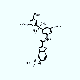 COc1cc(NC(=O)c2cc3cc(NS(C)(=O)=O)ccc3s2)cc(C(C)(C)c2cc(OC)cc(OC(F)(F)F)c2)c1